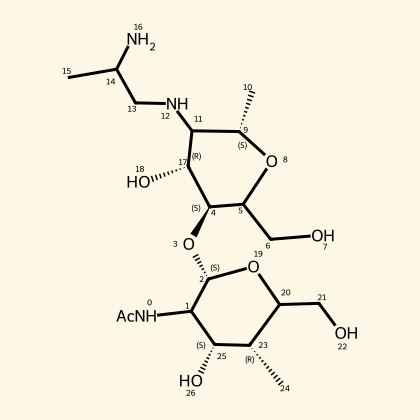 CC(=O)NC1[C@H](O[C@@H]2C(CO)O[C@@H](C)C(NCC(C)N)[C@H]2O)OC(CO)[C@H](C)[C@@H]1O